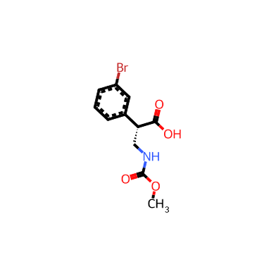 COC(=O)NC[C@@H](C(=O)O)c1cccc(Br)c1